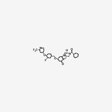 O=C(c1ccccc1)N1C[C@]23C[C@H]1CN2c1cc(OCc2ccc(Oc4ccnc(C(F)(F)F)c4)c(F)c2)cc(=O)n1C3